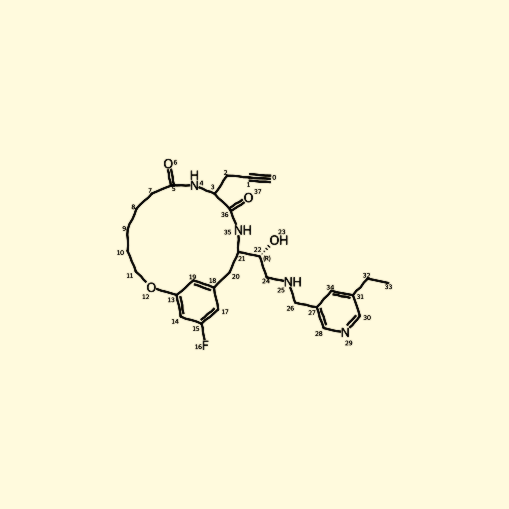 C#CCC1NC(=O)CCCCCOc2cc(F)cc(c2)CC([C@H](O)CNCc2cncc(CC)c2)NC1=O